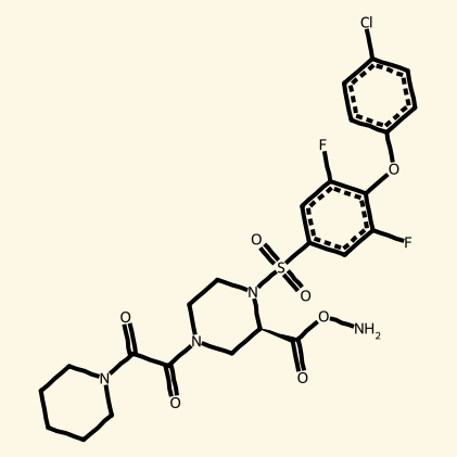 NOC(=O)[C@H]1CN(C(=O)C(=O)N2CCCCC2)CCN1S(=O)(=O)c1cc(F)c(Oc2ccc(Cl)cc2)c(F)c1